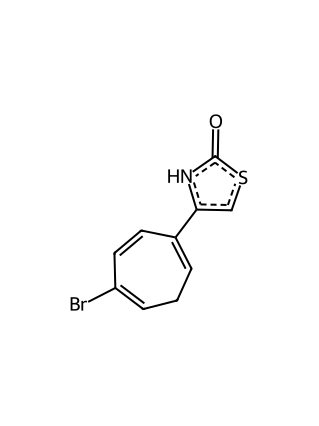 O=c1[nH]c(C2=CCC=C(Br)C=C2)cs1